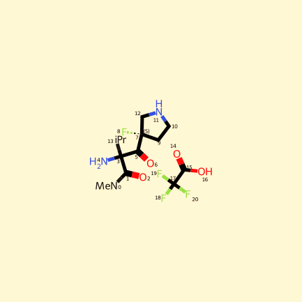 CNC(=O)C(N)(C(=O)[C@]1(F)CCNC1)C(C)C.O=C(O)C(F)(F)F